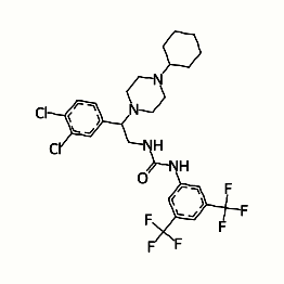 O=C(NCC(c1ccc(Cl)c(Cl)c1)N1CCN(C2CCCCC2)CC1)Nc1cc(C(F)(F)F)cc(C(F)(F)F)c1